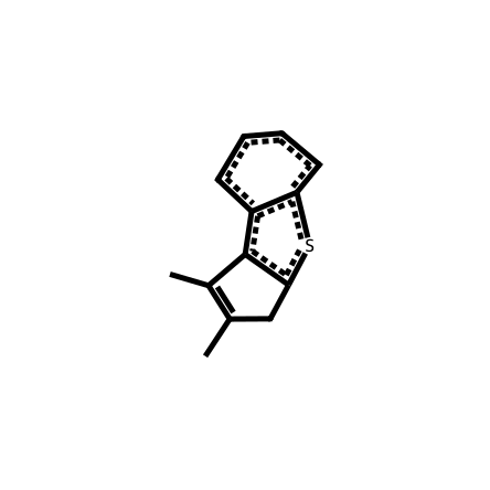 CC1=C(C)c2c(sc3ccccc23)C1